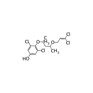 CC(CC(C)Oc1c(Cl)cc(O)cc1Cl)OCC=C(Cl)Cl